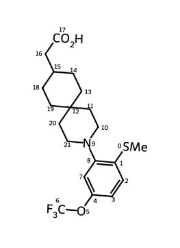 CSc1ccc(OC(F)(F)F)cc1N1CCC2(CCC(CC(=O)O)CC2)CC1